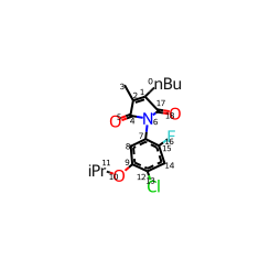 CCCCC1=C(C)C(=O)N(c2cc(OC(C)C)c(Cl)cc2F)C1=O